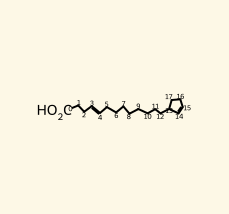 O=C(O)CC/C=C/CCCCCCCCC1C=CCC1